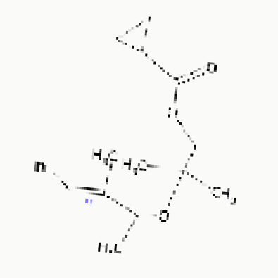 CCC(C)/C=C(\C)C(C)OC(C)(C)COC(=O)C1CC1